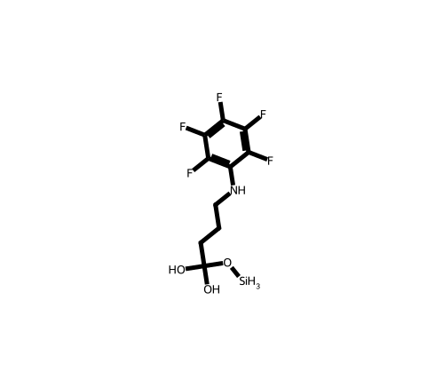 OC(O)(CCCNc1c(F)c(F)c(F)c(F)c1F)O[SiH3]